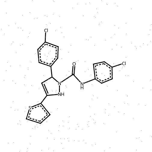 O=C(Nc1ccc(Cl)cc1)N1NC(c2cccs2)=CC1c1ccc(Cl)cc1